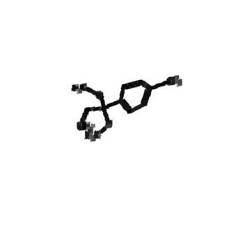 [CH2]CC(OC)(OC)c1ccc(C)cc1